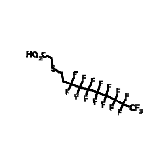 O=C(O)CSCCC(F)(F)C(F)(F)C(F)(F)C(F)(F)C(F)(F)C(F)(F)C(F)(F)C(F)(F)F